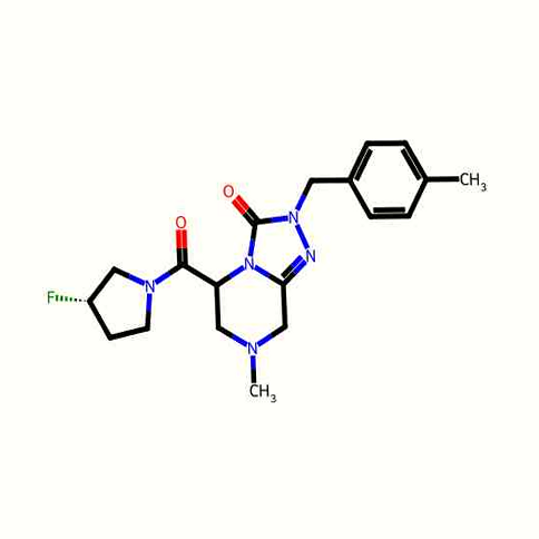 Cc1ccc(Cn2nc3n(c2=O)C(C(=O)N2CC[C@H](F)C2)CN(C)C3)cc1